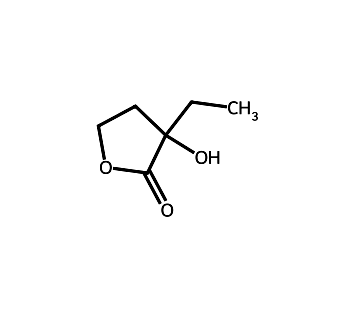 CCC1(O)CCOC1=O